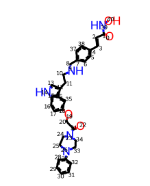 O=C(/C=C/c1ccc(CNCCc2c[nH]c3ccc(OCC(=O)N4CCN(c5ccccc5)CC4)cc23)cc1)NO